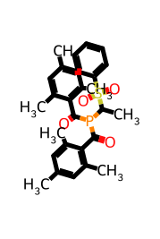 Cc1cc(C)c(C(=O)P(C(=O)c2c(C)cc(C)cc2C)C(C)S(=O)(=O)c2ccccc2)c(C)c1